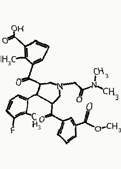 COC(=O)c1cccc(C(=O)C2CN(CC(=O)N(C)C)CC(C(=O)c3cccc(C(=O)O)c3C)C2c2cccc(F)c2C)c1